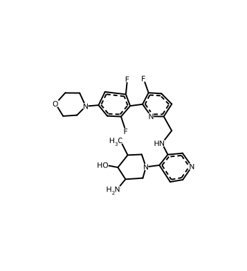 CC1CN(c2ccncc2NCc2ccc(F)c(-c3c(F)cc(N4CCOCC4)cc3F)n2)CC(N)C1O